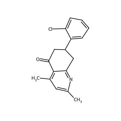 Cc1cc(C)c2c(n1)CC(c1ccccc1Cl)CC2=O